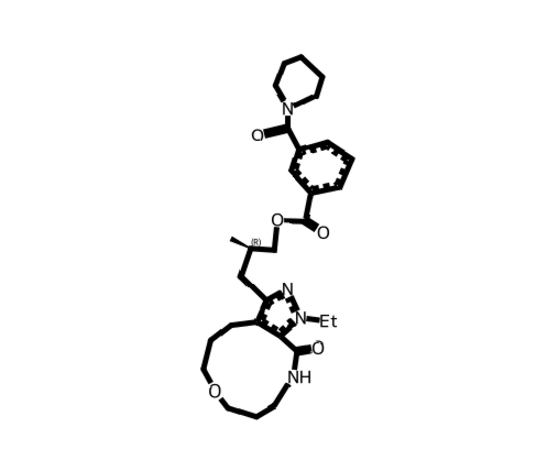 CCn1nc(C[C@@H](C)COC(=O)c2cccc(C(=O)N3CCCCC3)c2)c2c1C(=O)NCCCOCCC2